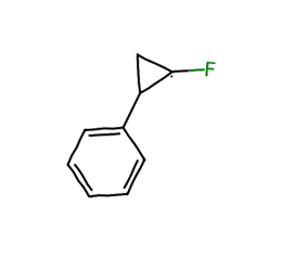 F[C]1CC1c1ccccc1